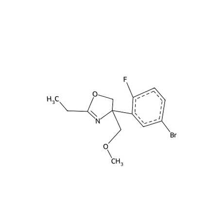 CCC1=NC(COC)(c2cc(Br)ccc2F)CO1